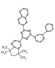 CC1(C)CCC(C)(C)c2cc(-c3nc(-c4cccc(-c5ccccc5)c4)nc(-c4ccc5ccccc5c4)n3)ccc21